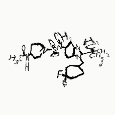 CC(=O)NC1CCN(S(=O)(=O)N(C)c2ccc3c(c2)nc(C(C)(C)C)n3CC2CCC(F)(F)CC2)CC1